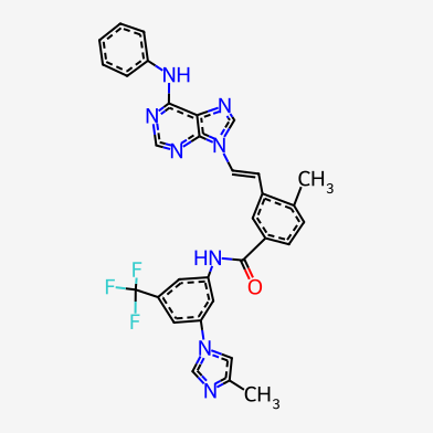 Cc1cn(-c2cc(NC(=O)c3ccc(C)c(/C=C/n4cnc5c(Nc6ccccc6)ncnc54)c3)cc(C(F)(F)F)c2)cn1